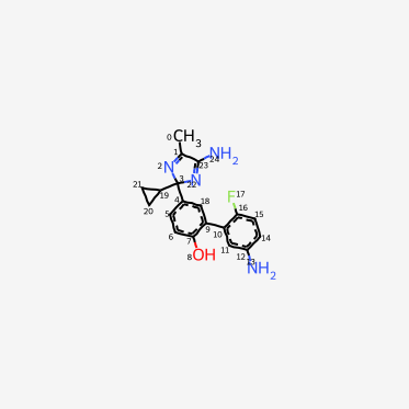 CC1=NC(c2ccc(O)c(-c3cc(N)ccc3F)c2)(C2CC2)N=C1N